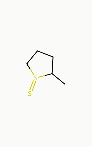 CC1CCCS1=S